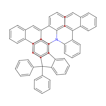 c1ccc(C2(c3ccccc3)c3ccccc3-c3c(N(c4ccccc4-c4cccc5ccccc45)c4ccccc4-c4cc5ccccc5c5ccccc45)cccc32)cc1